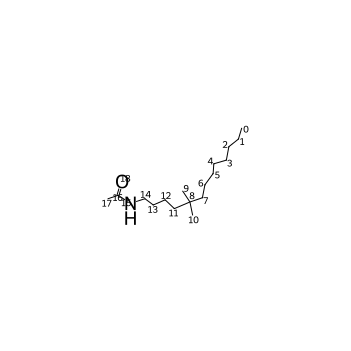 CCCCCCCCC(C)(C)CCCCNC(C)=O